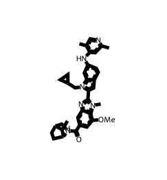 COc1cc(C(=O)N2CC3CCC2[C@@H]3C)cc2nc(-c3cc4ccc(Nc5cc(C)ncc5C)cc4n3CC3CC3)n(C)c12